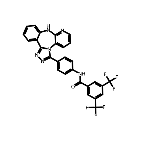 O=C(Nc1ccc(-c2nnc3n2-c2cccnc2Nc2ccccc2-3)cc1)c1cc(C(F)(F)F)cc(C(F)(F)F)c1